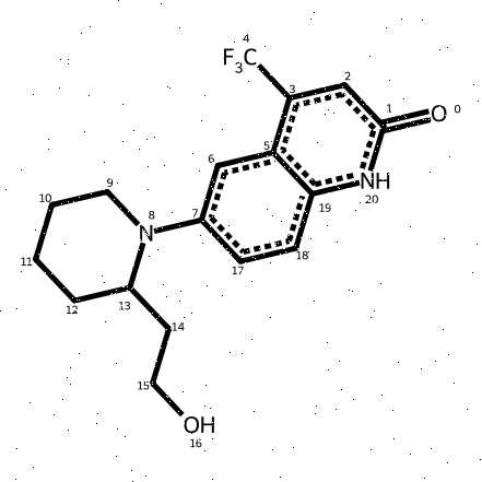 O=c1cc(C(F)(F)F)c2cc(N3CCCCC3CCO)ccc2[nH]1